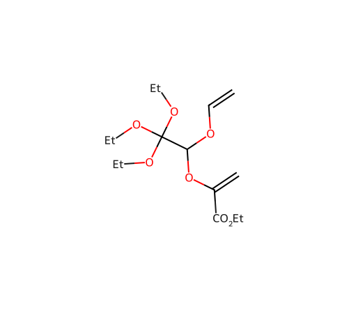 C=COC(OC(=C)C(=O)OCC)C(OCC)(OCC)OCC